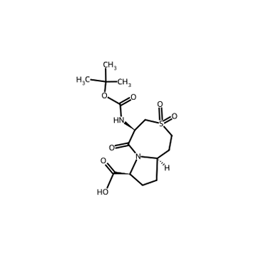 CC(C)(C)OC(=O)N[C@H]1CS(=O)(=O)CC[C@H]2CC[C@@H](C(=O)O)N2C1=O